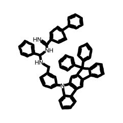 N=C(NC(NCc1cccc(-n2c3ccccc3c3cc4c(cc32)C(c2ccccc2)(c2ccccc2)c2ccccc2-4)c1)c1ccccc1)c1ccc(-c2ccccc2)cc1